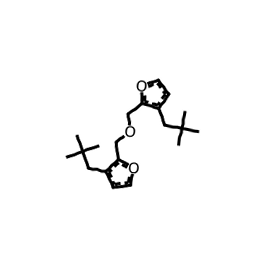 CC(C)(C)Cc1ccoc1COCc1occc1CC(C)(C)C